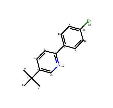 CC(C)(C)c1ccc(-c2ccc(Br)cc2)nc1